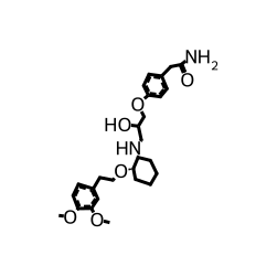 COc1ccc(CCO[C@H]2CCCC[C@H]2NCC(O)COc2ccc(CC(N)=O)cc2)cc1OC